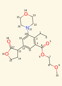 CCc1c(C(=O)OCCOC)cc(C2CCOC2=O)cc1N1CCOCC1